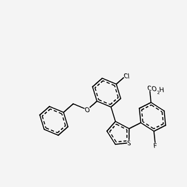 O=C(O)c1ccc(F)c(-c2sccc2-c2cc(Cl)ccc2OCc2ccccc2)c1